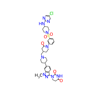 Cn1nc(N2CCC(=O)NC2=O)c2ccc(C3CCN(CC4CCN(c5cccc(S(=O)(=O)N6CCC(Nc7ncc(Cl)cn7)CC6)c5)C(=O)C4)CC3)cc21